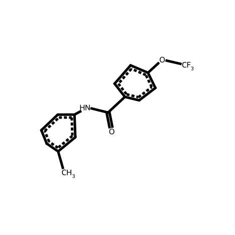 Cc1cccc(NC(=O)c2ccc(OC(F)(F)F)cc2)c1